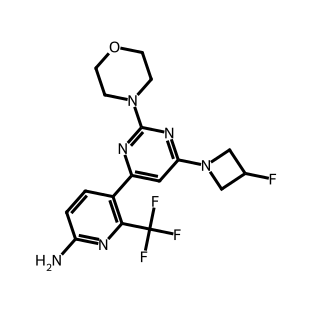 Nc1ccc(-c2cc(N3CC(F)C3)nc(N3CCOCC3)n2)c(C(F)(F)F)n1